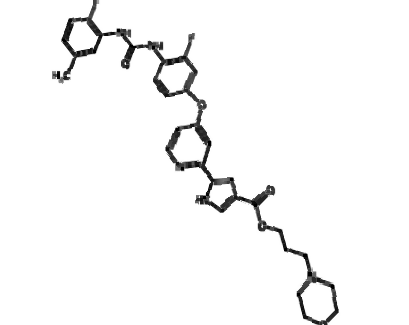 Cc1ccc(F)c(NC(=O)Nc2ccc(Oc3ccnc(-c4cc(C(=O)OCCCN5CCOCC5)c[nH]4)c3)cc2F)c1